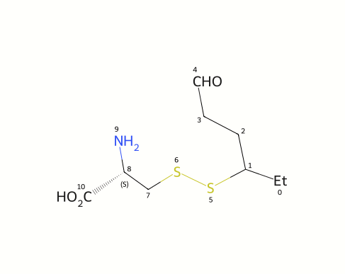 CCC(CCC=O)SSC[C@@H](N)C(=O)O